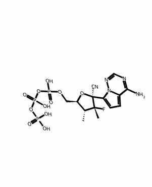 C[C@@H]1[C@@H](COP(=O)(O)OP(=O)(O)OP(=O)(O)O)O[C@@](C#N)(c2ccc3c(N)ncnn23)[C@]1(C)F